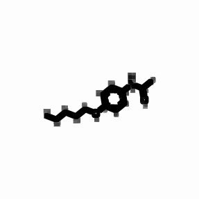 [CH2]C(=O)Nc1ccc(OCCCCC)cc1